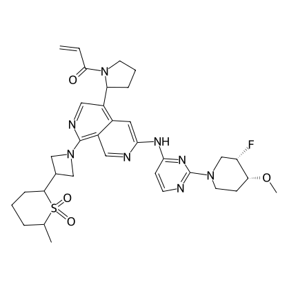 C=CC(=O)N1CCCC1c1cnc(N2CC(C3CCCC(C)S3(=O)=O)C2)c2cnc(Nc3ccnc(N4CC[C@@H](OC)[C@@H](F)C4)n3)cc12